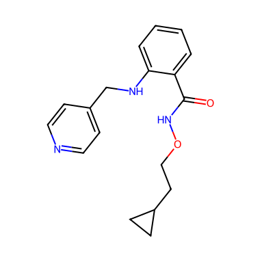 O=C(NOCCC1CC1)c1ccccc1NCc1ccncc1